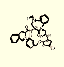 O=CN1C[C@H](NC(=O)c2cc3ccccc3cn2)C(=O)N(CC(=O)N[C@H]2CC(=O)OC2OCc2ccccc2)c2ccccc21